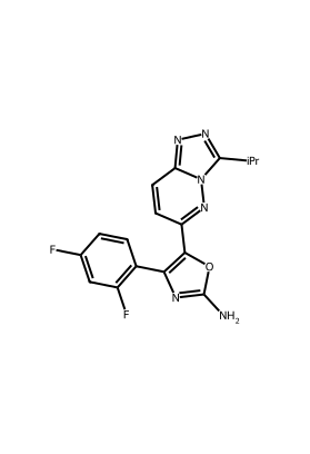 CC(C)c1nnc2ccc(-c3oc(N)nc3-c3ccc(F)cc3F)nn12